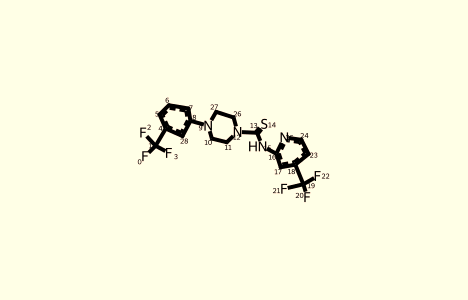 FC(F)(F)c1cccc(N2CCN(C(=S)Nc3cc(C(F)(F)F)ccn3)CC2)c1